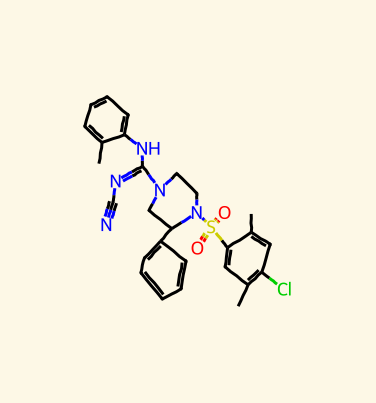 Cc1cc(S(=O)(=O)N2CCN(/C(=N\C#N)Nc3ccccc3C)CC2c2ccccc2)c(C)cc1Cl